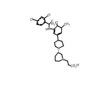 CC(NC1=CC(C2CCN([C@H]3CCCN(CCC(=O)O)C3)CC2)=CC(C)C1Cl)c1ccc(Cl)cc1Cl